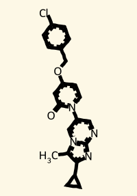 Cc1c(C2CC2)nc2ncc(-n3ccc(OCc4ccc(Cl)cc4)cc3=O)cn12